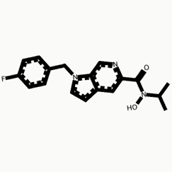 CC(C)N(O)C(=O)c1cc2ccn(Cc3ccc(F)cc3)c2cn1